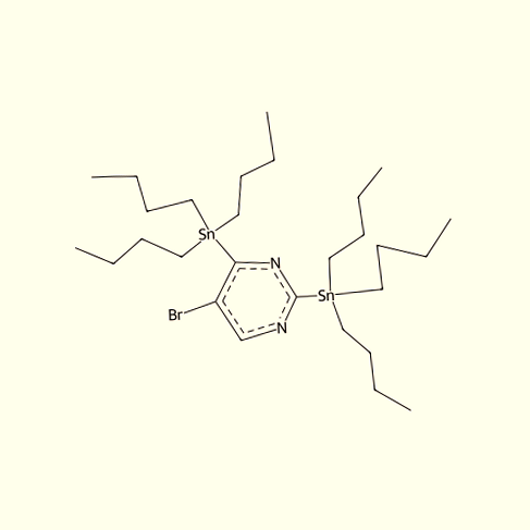 CCC[CH2][Sn]([CH2]CCC)([CH2]CCC)[c]1ncc(Br)[c]([Sn]([CH2]CCC)([CH2]CCC)[CH2]CCC)n1